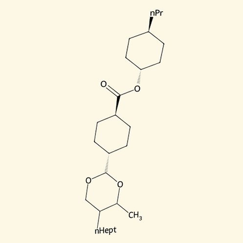 CCCCCCCC1COC([C@H]2CC[C@H](C(=O)O[C@H]3CC[C@H](CCC)CC3)CC2)OC1C